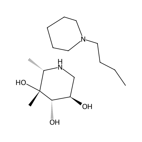 CCCCN1CCCCC1.C[C@@H]1NC[C@@H](O)[C@H](O)[C@]1(C)O